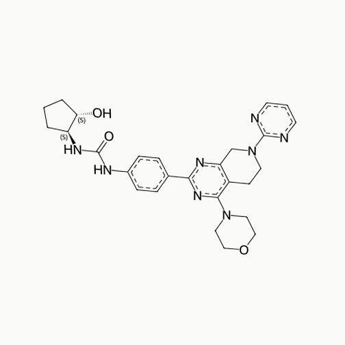 O=C(Nc1ccc(-c2nc3c(c(N4CCOCC4)n2)CCN(c2ncccn2)C3)cc1)N[C@H]1CCC[C@@H]1O